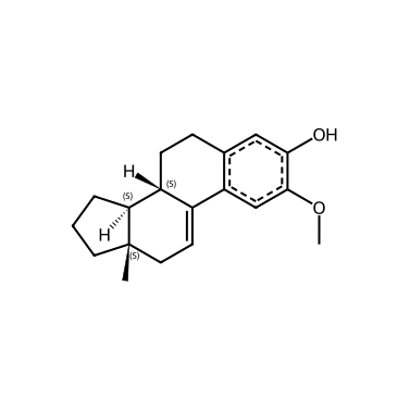 COc1cc2c(cc1O)CC[C@@H]1C2=CC[C@]2(C)CCC[C@@H]12